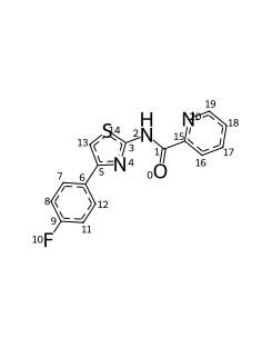 O=C(Nc1nc(-c2ccc(F)cc2)cs1)c1ccccn1